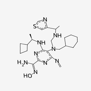 C=Nc1nc(/C(N)=N/O)nc(N[C@H](C)C2CCC2)c1N(CNC(C)c1cscn1)CC1CCCCC1